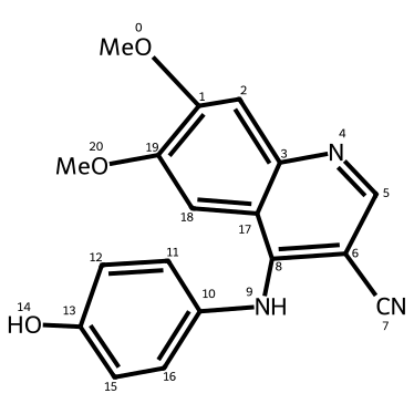 COc1cc2ncc(C#N)c(Nc3ccc(O)cc3)c2cc1OC